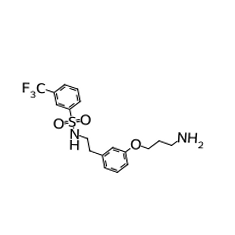 NCCCOc1cccc(CCNS(=O)(=O)c2cccc(C(F)(F)F)c2)c1